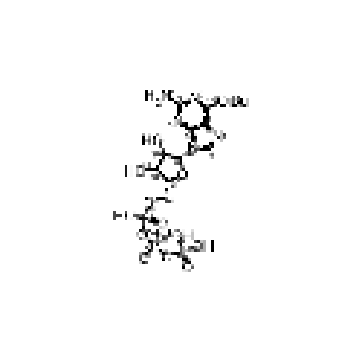 CC(C)COc1nc(N)nc2c1ncn2[C@@H]1O[C@H](COP(=O)(O)OP(=O)(O)OP(=O)(O)O)[C@@H](O)[C@H]1O